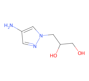 Nc1cnn(CC(O)CO)c1